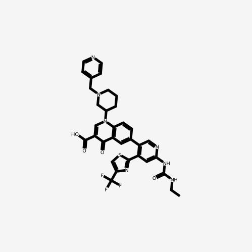 CCNC(=O)Nc1cc(-c2nc(C(F)(F)F)cs2)c(-c2ccc3c(c2)c(=O)c(C(=O)O)cn3C2CCCN(Cc3ccncc3)C2)cn1